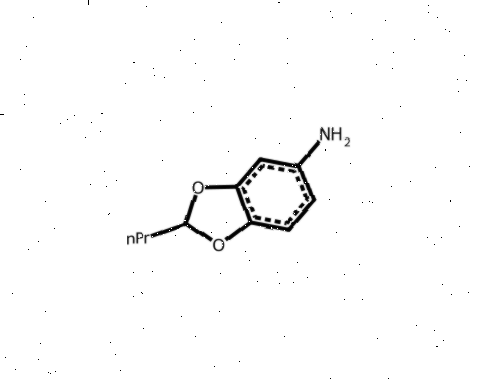 CCCC1Oc2ccc(N)cc2O1